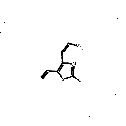 C=Cc1sc(C)nc1/C=C\N